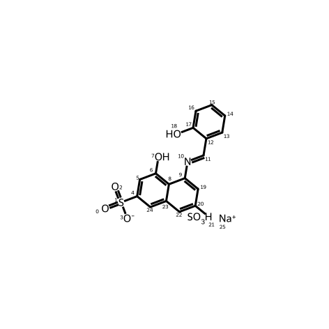 O=S(=O)([O-])c1cc(O)c2c(N=Cc3ccccc3O)cc(S(=O)(=O)O)cc2c1.[Na+]